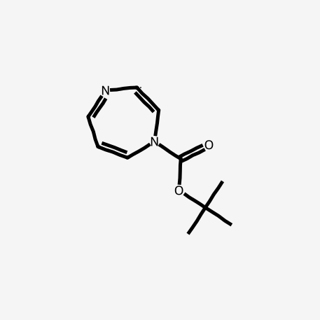 CC(C)(C)OC(=O)N1C=[C]N=CC=C1